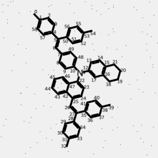 Cc1ccc(C(=Cc2ccc(N(c3ccc4c(c3)CCCC4)c3ccc(C=C(c4ccc(C)cc4)c4ccc(C)cc4)c4ccccc34)cc2)c2ccc(C)cc2)cc1